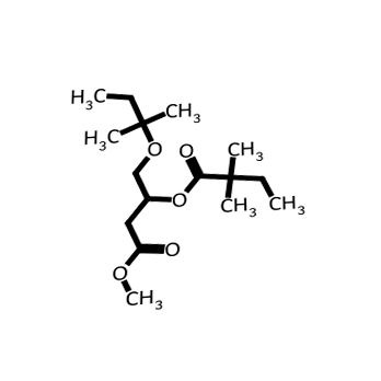 CCC(C)(C)OCC(CC(=O)OC)OC(=O)C(C)(C)CC